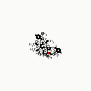 COc1cc(I)ccc1C(=O)OC[C@H]1O[C@@](COC(=O)C(C)C)(O[C@H]2O[C@H](COC(=O)c3ccc(I)cc3OC)[C@@H](OC(=O)C(C)C)[C@H](OC(=O)C(C)C)[C@H]2OC(=O)C(C)C)[C@@H](OC(=O)C(C)C)[C@@H]1OC(=O)C(C)C